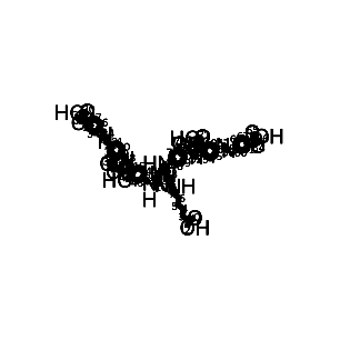 O=C(O)CCCCCNc1nc(Nc2ccc(N=Nc3ccc(N=Nc4ccc(S(=O)(=O)O)cc4)cc3S(=O)(=O)O)c(O)c2)nc(Nc2ccc(N=Nc3ccc(N=Nc4ccc(S(=O)(=O)O)cc4)cc3S(=O)(=O)O)c(O)c2)n1